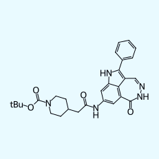 CC(C)(C)OC(=O)N1CCC(CC(=O)Nc2cc3c4c(c(-c5ccccc5)[nH]c4c2)C=NNC3=O)CC1